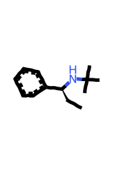 CC[C@H](NC(C)(C)C)c1ccccc1